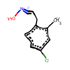 Cc1cc(Cl)ccc1/C=N\O